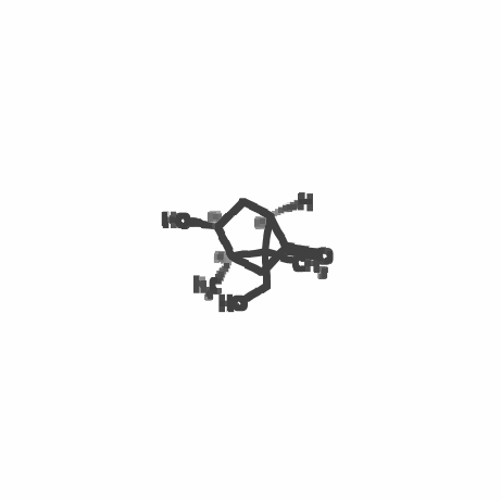 CC1(CO)[C@H]2C[C@H](O)[C@]1(C)CC2=O